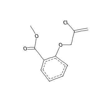 C=C(Cl)COc1ccccc1C(=O)OC